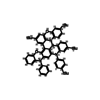 CC(C)(C)c1ccc(N2c3cc(C(C)(C)C)ccc3B3c4c2cc2c(c4-c4cc(C(C)(C)C)cc5c4N3c3ccc(C(C)(C)C)cc3O5)Oc3ccccc3N2c2ccccc2)cc1